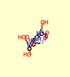 C=C/C=C(\C=C/C1(C)\C(=C/C=C/C=C/C2=NC3C(=CC(C(=O)N(C)OC)=CN3CCCSO)C2(C)C)N(CCCS(=O)O)c2ccc(SO)cc21)C(=O)NN